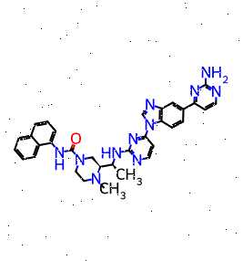 C[C@H](Nc1nccc(-n2cnc3cc(-c4ccnc(N)n4)ccc32)n1)[C@@H]1CN(C(=O)Nc2cccc3ccccc23)CCN1C